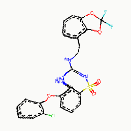 O=S1(=O)N=C(NCc2cccc3c2OC(F)(F)O3)Nc2c(Oc3ccccc3Cl)cccc21